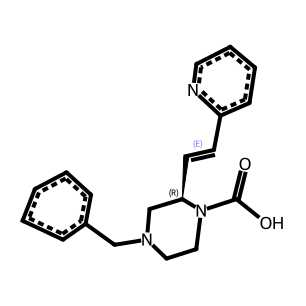 O=C(O)N1CCN(Cc2ccccc2)C[C@H]1/C=C/c1ccccn1